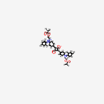 C=C(C)C(=O)OCCN(c1ccc(C2=C([O-])C(=C3C=CC(=[N+](CCOC(=O)C(=C)C)c4ccc(C)cc4C)C=C3)C2=O)cc1)c1ccc(C)cc1C